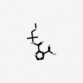 CSCC(C)(C)NC(=O)c1sccc1C(=O)O